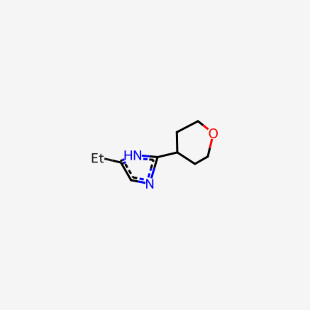 CCc1cnc(C2CCOCC2)[nH]1